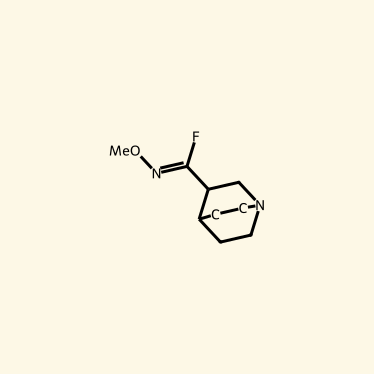 CON=C(F)C1CN2CCC1CC2